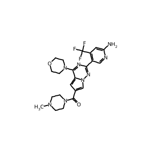 CN1CCN(C(=O)c2cc3c(N4CCOCC4)nc(-c4cnc(N)cc4C(F)(F)F)nn3c2)CC1